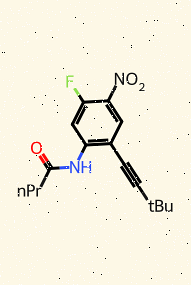 CCCC(=O)Nc1cc(F)c([N+](=O)[O-])cc1C#CC(C)(C)C